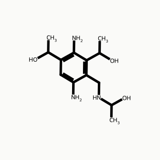 CC(O)NCc1c(N)cc(C(C)O)c(N)c1C(C)O